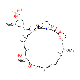 COC1C2OC2C(C)C[C@H](C)/C=C/C=C/C=C(\C)[C@@H](OC)C[C@@H]2CC[C@@H](C)[C@@](O)(O2)C(=O)C(=O)N2CCCC[C@H]2C(=O)C[C@H](C(C)CC2CC[C@@H](O[PH](C)(C)O)[C@H](OC)C2)CC(=O)[C@H](C)/C=C(\C)[C@H]1O